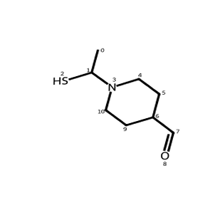 CC(S)N1CCC(C=O)CC1